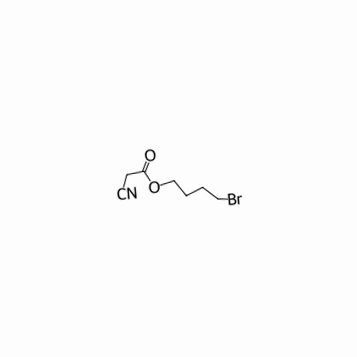 N#CCC(=O)OCCCCBr